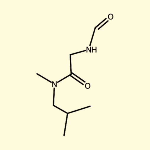 CC(C)CN(C)C(=O)CNC=O